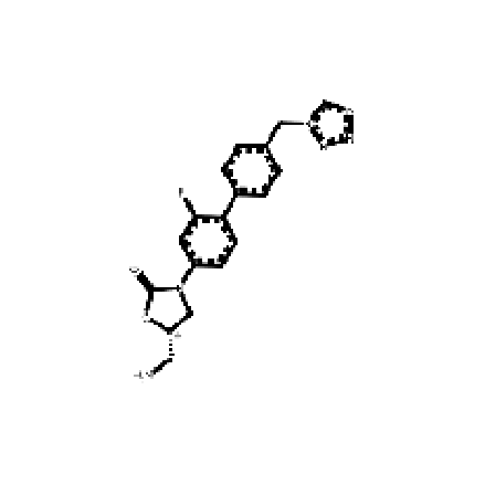 NC[C@H]1CN(c2ccc(-c3ccc(Cn4cnnn4)cc3)c(F)c2)C(=O)O1